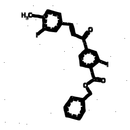 Cc1ccc(/C=C/C(=O)c2ccc(C(=O)OCc3ccccc3)c(I)c2)cc1I